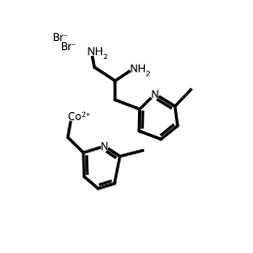 Cc1cccc(CC(N)CN)n1.Cc1cccc([CH2][Co+2])n1.[Br-].[Br-]